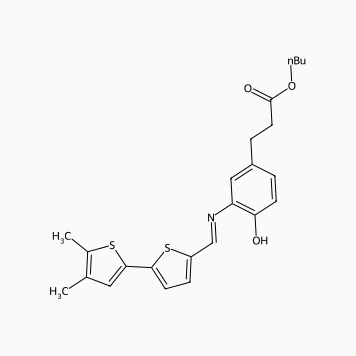 CCCCOC(=O)CCc1ccc(O)c(/N=C/c2ccc(-c3cc(C)c(C)s3)s2)c1